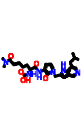 CC(C)Cc1cncc2cc(Cn3cccc(NC(=O)C(CC/C=C/C(=O)N(C)C)NC(=O)O)c3=O)[nH]c12